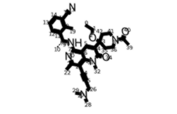 CCOC1(c2cc3c(N[C@H](C)c4cccc(C#N)c4C)nc(C)c(C#CCN(C)C)c3n(C)c2=O)CCN(C(C)=O)CC1